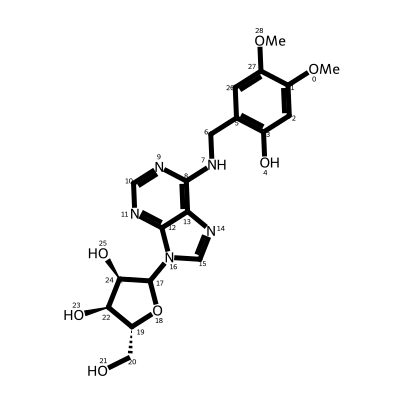 COc1cc(O)c(CNc2ncnc3c2ncn3C2O[C@H](CO)[C@@H](O)[C@H]2O)cc1OC